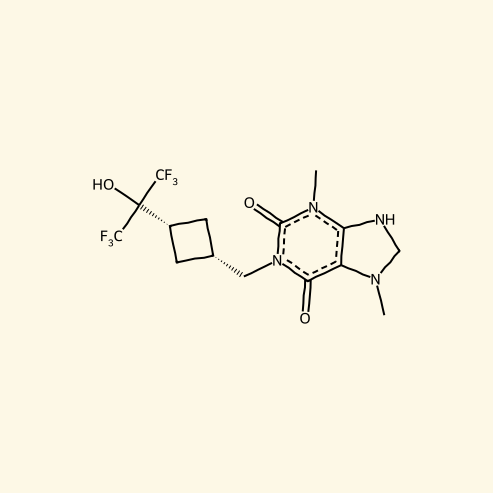 CN1CNc2c1c(=O)n(C[C@H]1C[C@@H](C(O)(C(F)(F)F)C(F)(F)F)C1)c(=O)n2C